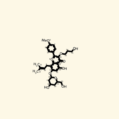 COc1ccc(-c2oc3c(CC=C(C)C)c(OC4CC(O)CC(CO)O4)cc(O)c3c(=O)c2OCCCO)cc1